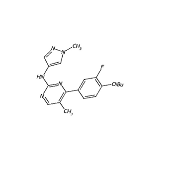 Cc1cnc(Nc2cnn(C)c2)nc1-c1ccc(OCC(C)C)c(F)c1